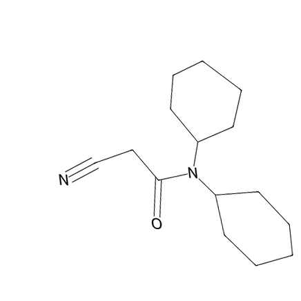 N#CCC(=O)N(C1CCCCC1)C1CCCCC1